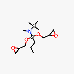 CCC[Si](OCC1CO1)(OCC1CO1)N(C)[Si](C)(C)C